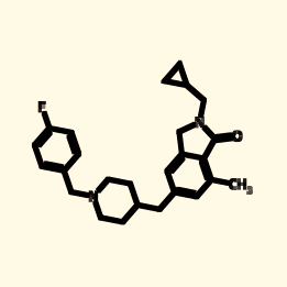 Cc1cc(CC2CCN(Cc3ccc(F)cc3)CC2)cc2c1C(=O)N(CC1CC1)C2